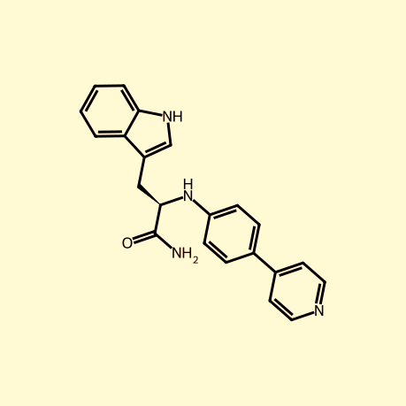 NC(=O)[C@@H](Cc1c[nH]c2ccccc12)Nc1ccc(-c2ccncc2)cc1